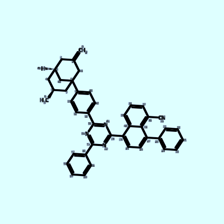 C=C1C[C@@H]2C[C@H](C)CC(c3ccc(-c4nc(-c5ccccc5)nc(-c5ccc(-c6ccccc6)c6c(C#N)cccc56)n4)cc3)(C1)C2